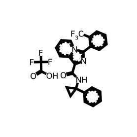 O=C(NC1(c2ccccc2)CC1)c1nc(-c2ccccc2C(F)(F)F)n2ccccc12.O=C(O)C(F)(F)F